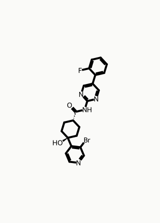 O=C(Nc1ncc(-c2ccccc2F)cn1)[C@H]1CC[C@@](O)(c2ccncc2Br)CC1